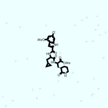 COC(=O)C(C[C@@H]1CCCNC1=O)NC(=O)C(CC1CC1)NC(=O)c1cc2c(OC)cc(Cl)cc2[nH]1